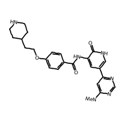 CNc1cc(-c2c[nH]c(=O)c(NC(=O)c3ccc(OCCC4CCNCC4)cc3)c2)ncn1